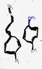 C=C=CCc1ccc(C)cc1.Cc1ccc(N)cc1